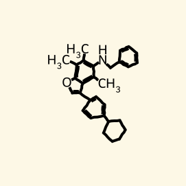 Cc1c(NCc2ccccc2)c(C)c2c(-c3ccc(C4CCCCC4)cc3)coc2c1C